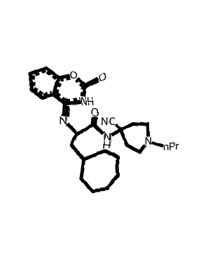 CCCN1CCC(C#N)(NC(=O)C(CC2CCCCCC2)/N=c2\[nH]c(=O)oc3ccccc23)CC1